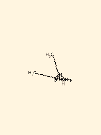 CCCCCCCCCCCCCCCCCC(=O)OCC(COC(=O)CCCCCCCCCCCCCCCCC)OC(=O)NC1CN(CCCF)C1